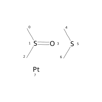 CS(C)=O.CSC.[Pt]